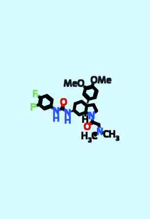 COc1ccc([C@@]23CC[C@@H](NC(=O)Nc4ccc(F)c(F)c4)C[C@@H]2N(C(=O)CN(C)C)CC3)cc1OC